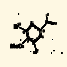 C=C(C)c1cc(F)c(OC)c(Br)c1